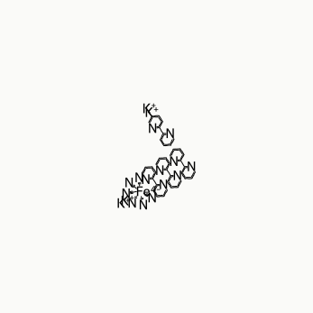 N#[C][Fe-4]([C]#N)([C]#N)([C]#N)([C]#N)[C]#N.[K+].[K+].[K+].[K+].c1ccc(-c2ccccn2)nc1.c1ccc(-c2ccccn2)nc1.c1ccc(-c2ccccn2)nc1.c1ccc(-c2ccccn2)nc1